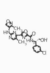 Cc1cnc(Nc2conc2C)nc1-c1coc(C(=O)N[C@H](CO)c2cccc(Cl)c2)n1